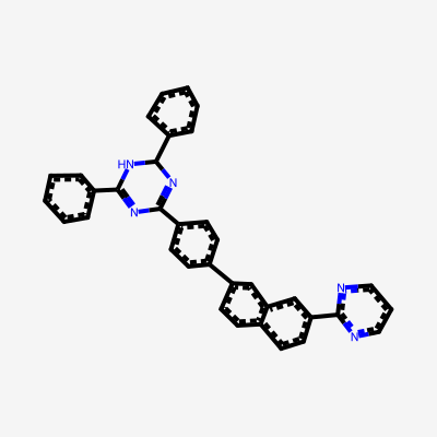 c1ccc(C2=NC(c3ccc(-c4ccc5ccc(-c6ncccn6)cc5c4)cc3)=NC(c3ccccc3)N2)cc1